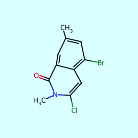 Cc1cc(Br)c2cc(Cl)n(C)c(=O)c2c1